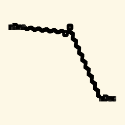 CCCCCCCCCCCCCCCCCCCCCCCCCCCCC(=O)OCCCCCCCCCCCCCCCCCCCC